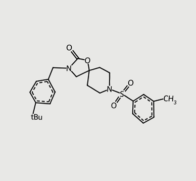 Cc1cccc(S(=O)(=O)N2CCC3(CC2)CN(Cc2ccc(C(C)(C)C)cc2)C(=O)O3)c1